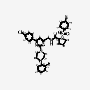 O=C(NCc1cc(-c2ccc(Cl)cc2)nc(N2CCN(c3ccccc3F)CC2)n1)C1CCCN1S(=O)(=O)c1ccc(F)cc1